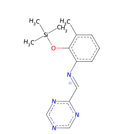 Cc1cccc(/N=C/c2ncncn2)c1O[Si](C)(C)C